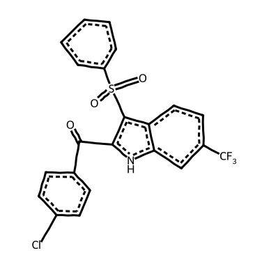 O=C(c1ccc(Cl)cc1)c1[nH]c2cc(C(F)(F)F)ccc2c1S(=O)(=O)c1ccccc1